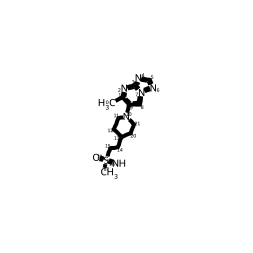 Cc1nc2ncnn2cc1N1CCC(CCS(C)(=N)=O)CC1